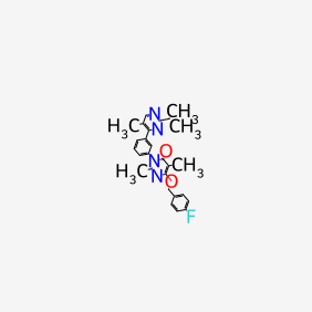 Cc1cnc(C(C)C)nc1-c1cccc(-n2c(C)nc(OCc3ccc(F)cc3)c(C)c2=O)c1